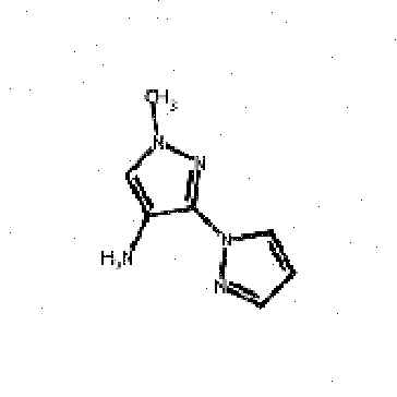 Cn1cc(N)c(-n2cccn2)n1